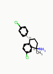 C[C@]1(N)CC[C@@H](c2ccc(Cl)cc2)c2ccc(Cl)cc21